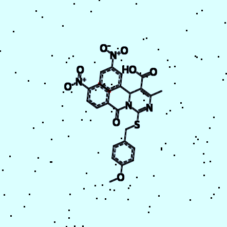 COc1ccc(CSC2=NC(C)=C(C(=O)O)C(c3cccc([N+](=O)[O-])c3)N2C(=O)c2ccc([N+](=O)[O-])cc2)cc1